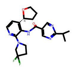 CC(C)c1ncc(C(=O)Nc2c([C@H]3CCCO3)ccnc2N2CCC(F)(F)C2)cn1